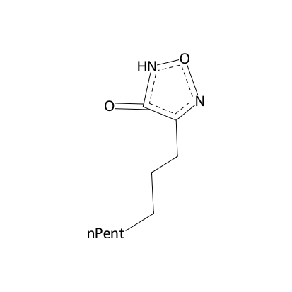 CCCCCCCCc1no[nH]c1=O